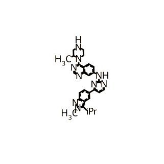 CC(C)c1c2cc(-c3ccnc(Nc4ccc5c(N6CCNCC6C)ncnc5c4)n3)ccc2nn1C